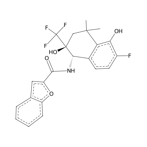 CC1(C)C[C@@](O)(C(F)(F)F)[C@@H](NC(=O)c2cc3ccccc3o2)c2ccc(F)c(O)c21